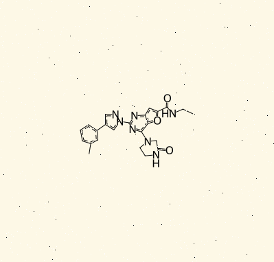 CCNC(=O)c1cc2nc(-n3cc(-c4cccc(C)c4)cn3)nc(N3CCNC(=O)C3)c2o1